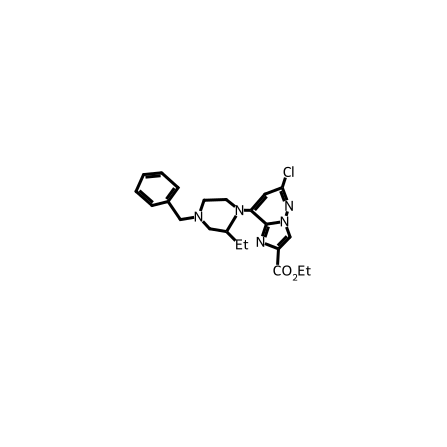 CCOC(=O)c1cn2nc(Cl)cc(N3CCN(Cc4ccccc4)CC3CC)c2n1